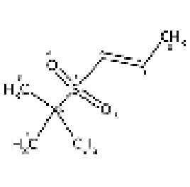 C/C=C/S(=O)(=O)C(C)(C)C